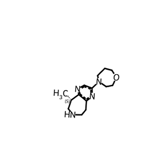 C[C@H]1CNCCc2nc(N3CCCOCC3)cnc21